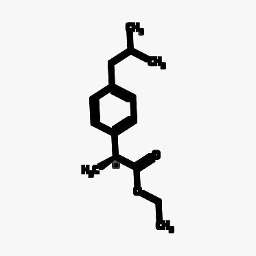 CCOC(=O)[C@@H](C)c1ccc(CC(C)C)cc1